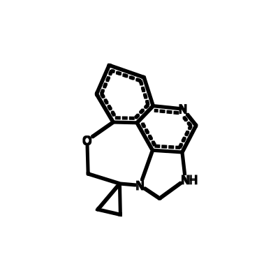 c1cc2c3c4c(cnc3c1)NCN4C1(CC1)CO2